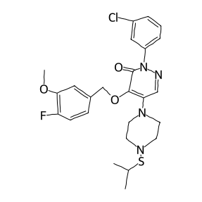 COc1cc(COc2c(N3CCN(SC(C)C)CC3)cnn(-c3cccc(Cl)c3)c2=O)ccc1F